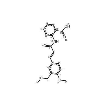 COCc1cc(C=CC(=O)Nc2ccccc2C(=O)O)ccc1OC